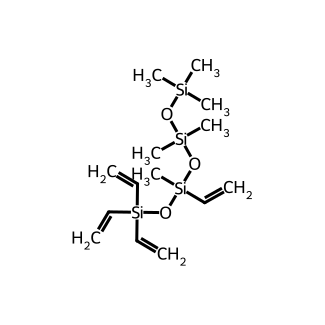 C=C[Si](C=C)(C=C)O[Si](C)(C=C)O[Si](C)(C)O[Si](C)(C)C